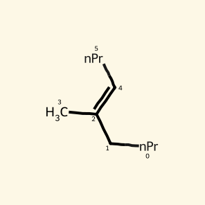 [CH2]CCCC(C)=CCCC